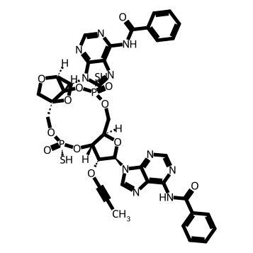 CC#CO[C@@H]1[C@@H]2O[P@](=O)(S)OC[C@@]34CO[C@@H]([C@H](n5cnc6c(NC(=O)c7ccccc7)ncnc65)O3)[C@@H]4O[P@](=O)(S)OC[C@H]2O[C@H]1n1cnc2c(NC(=O)c3ccccc3)ncnc21